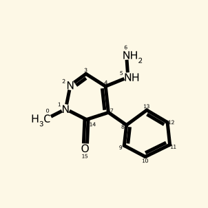 Cn1ncc(NN)c(-c2ccccc2)c1=O